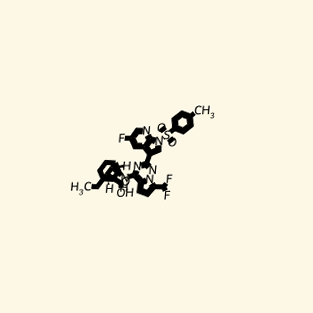 CCC12CCC(CC1)[C@H](Nc1nc(-c3cn(S(=O)(=O)c4ccc(C)cc4)c4ncc(F)cc34)nn3c(C(F)F)ccc13)[C@H]2C(=O)O